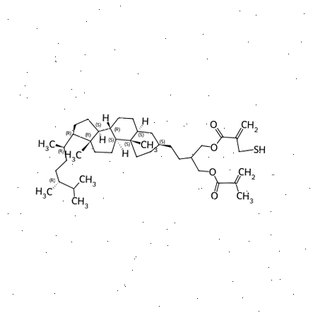 C=C(C)C(=O)OCC(CC[C@H]1CC[C@@]2(C)[C@@H](CC[C@@H]3[C@@H]2CC[C@]2(C)[C@@H]([C@H](C)CC[C@@H](C)C(C)C)CC[C@@H]32)C1)COC(=O)C(=C)CS